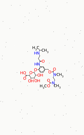 COC(=O)N(C)CCN(C)C(=O)OCc1ccc(OC2OC(C(=O)O)C(O)C(O)C2O)c(NC(=O)CCNC(C)C)c1